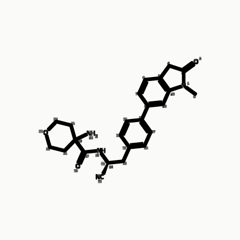 CN1C(=O)Cc2ccc(-c3ccc(C[C@@H](C#N)NC(=O)C4(N)CCOCC4)cc3)cc21